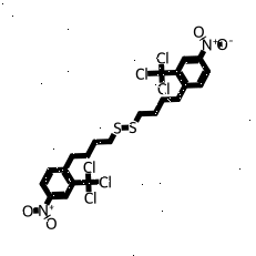 O=[N+]([O-])c1ccc(CCCCSSCCCCc2ccc([N+](=O)[O-])cc2C(Cl)(Cl)Cl)c(C(Cl)(Cl)Cl)c1